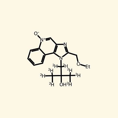 [2H]C([2H])([2H])C(O)(C([2H])([2H])[2H])C([2H])([2H])n1c(COCC)nc2c[n+]([O-])c3ccccc3c21